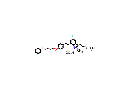 Cc1c(CCCC(=O)O)c2cc(F)cc(/C=C/c3ccc(OCCCCOc4ccccc4)cc3)c2n1CC(=O)O